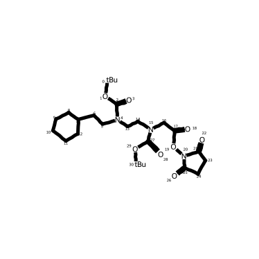 CC(C)(C)OC(=O)N(CCC1CCCCC1)CCN(CC(=O)ON1C(=O)CCC1=O)C(=O)OC(C)(C)C